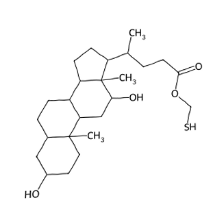 CC(CCC(=O)OCS)C1CCC2C3CCC4CC(O)CCC4(C)C3CC(O)C12C